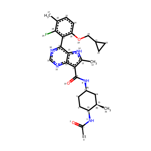 CCC(=O)N[C@H]1CC[C@@H](NC(=O)c2c(C)[nH]c3c(-c4c(OCC5CC5)ccc(C)c4F)ncnc23)C[C@H]1C